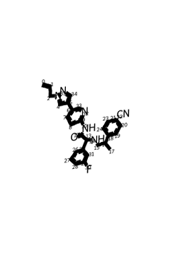 C=CCn1cc(-c2ccc(NC(=O)C(NCC(C)c3ccc(C#N)cc3)c3cccc(F)c3)nc2)cn1